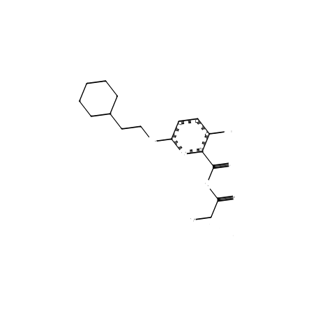 C[C@H](N)C(=O)NC(=O)c1nc(OCCC2CCCCC2)ccc1O